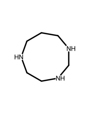 C1CNCCNCNC1